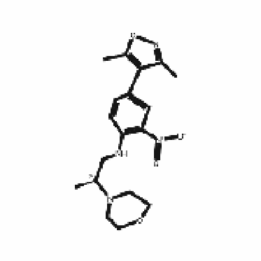 Cc1noc(C)c1-c1ccc(NC[C@H](C)N2CCOCC2)c([N+](=O)[O-])c1